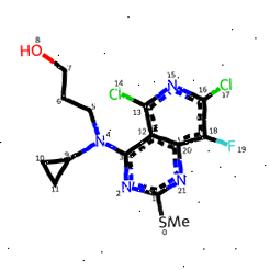 CSc1nc(N(CCCO)C2CC2)c2c(Cl)nc(Cl)c(F)c2n1